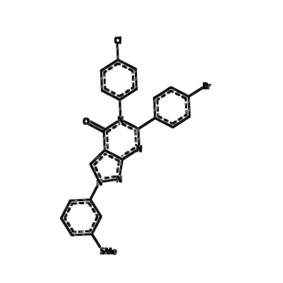 CSc1cccc(-n2cc3c(=O)n(-c4ccc(Cl)cc4)c(-c4ccc(Br)cc4)nc3n2)c1